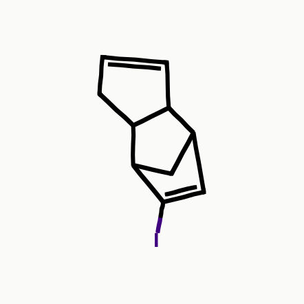 IC1=CC2CC1C1CC=CC21